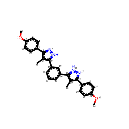 COc1ccc(-c2n[nH]c(-c3cccc(-c4[nH]nc(-c5ccc(OC)cc5)c4C)c3)c2C)cc1